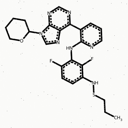 CCCSNc1ccc(F)c(Nc2ncccc2-c2ncnc3c2ncn3C2CCCCO2)c1F